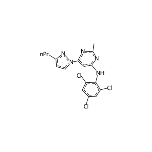 CCCc1ccn(-c2cc(Nc3c(Cl)cc(Cl)cc3Cl)nc(C)n2)n1